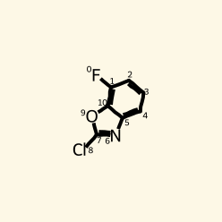 Fc1cccc2nc(Cl)oc12